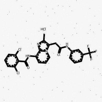 Cc1nc2c(NC(=O)c3c(Cl)cccc3Cl)cccn2c1CC(=O)Nc1cccc(C(F)(F)F)c1.Cl